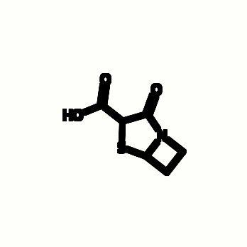 O=C(O)C1SC2CCN2C1=O